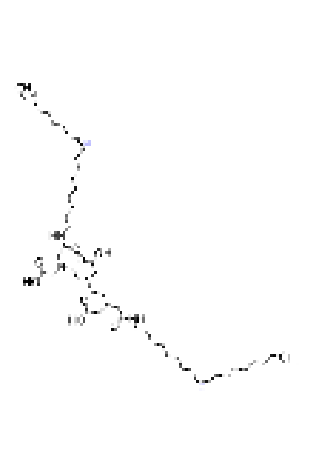 CCCCCCCC/C=C\CCCCCCCCNC(=O)CC(CCN(CCN(CC(=O)O)CC(=O)NCCCCCCCC/C=C\CCCCCCCC)CC(=O)O)CC(=O)O